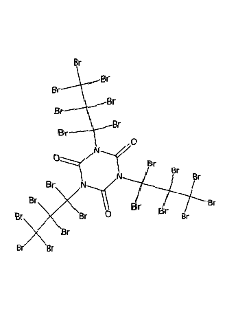 O=c1n(C(Br)(Br)C(Br)(Br)C(Br)(Br)Br)c(=O)n(C(Br)(Br)C(Br)(Br)C(Br)(Br)Br)c(=O)n1C(Br)(Br)C(Br)(Br)C(Br)(Br)Br